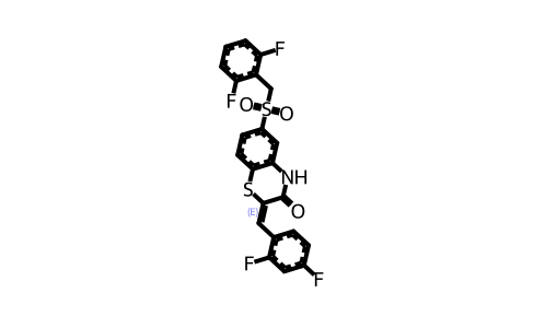 O=C1Nc2cc(S(=O)(=O)Cc3c(F)cccc3F)ccc2S/C1=C/c1ccc(F)cc1F